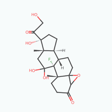 C[C@]12CC(O)(O)[C@@]3(F)[C@@H](CCC45OC4C(=O)CC[C@@]53C)[C@@H]1CC[C@]2(O)C(=O)CO